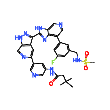 CC(C)(C)CC(=O)Nc1cncc(-c2cc3c(-c4nc5c(-c6cc(F)cc(CNS(C)(=O)=O)c6)cncc5[nH]4)n[nH]c3cn2)c1